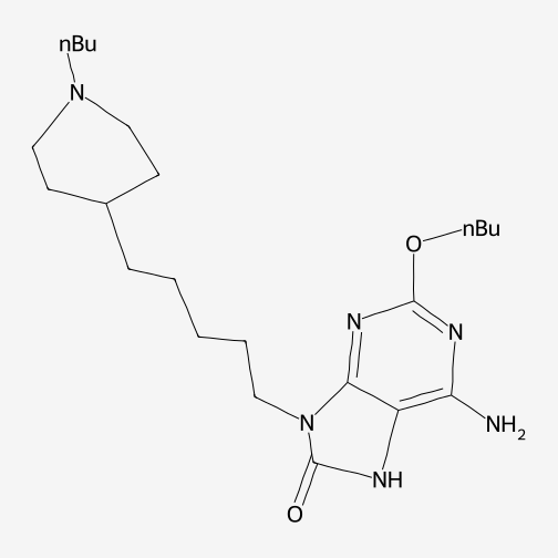 CCCCOc1nc(N)c2[nH]c(=O)n(CCCCCC3CCN(CCCC)CC3)c2n1